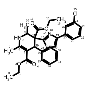 CCOC(=O)C1=C(C)NC(C)C(C(=O)OCC)(c2nc(-c3cccc(Cl)c3)cs2)C1c1ccccc1